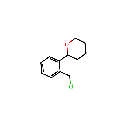 ClCc1ccccc1C1CCCCO1